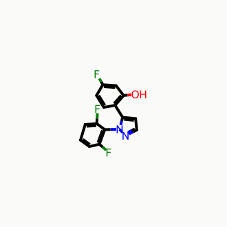 Oc1cc(F)ccc1-c1ccnn1-c1c(F)cccc1F